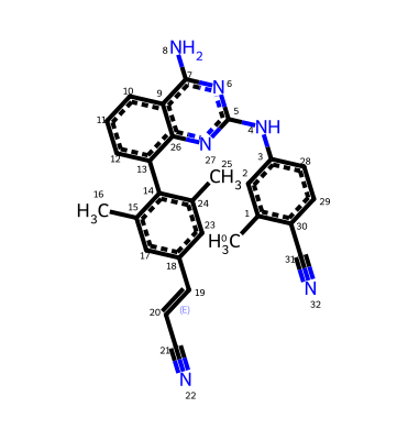 Cc1cc(Nc2nc(N)c3cccc(-c4c(C)cc(/C=C/C#N)cc4C)c3n2)ccc1C#N